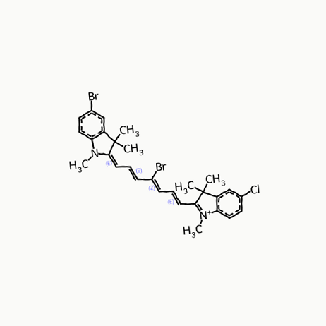 CN1/C(=C/C=C/C(Br)=C/C=C/C2=[N+](C)c3ccc(Cl)cc3C2(C)C)C(C)(C)c2cc(Br)ccc21